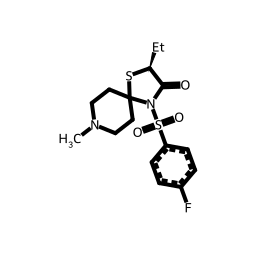 CC[C@@H]1SC2(CCN(C)CC2)N(S(=O)(=O)c2ccc(F)cc2)C1=O